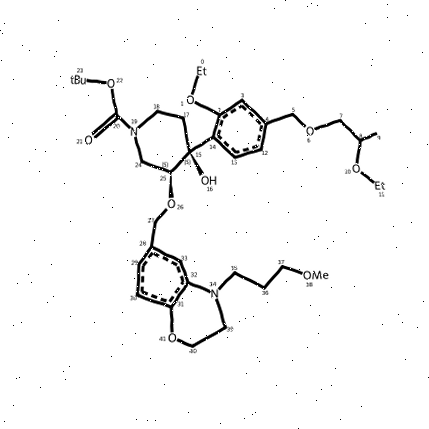 CCOc1cc(COCC(C)OCC)ccc1[C@@]1(O)CCN(C(=O)OC(C)(C)C)C[C@@H]1OCc1ccc2c(c1)N(CCCOC)CCO2